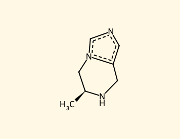 C[C@H]1Cn2cncc2CN1